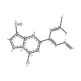 C=N/C=C(\C=C(/C)F)c1cc(Cl)n2ncc(C=O)c2n1